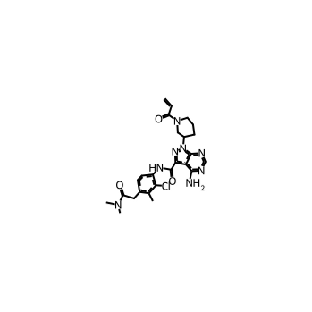 C=CC(=O)N1CCCC(n2nc(C(=O)Nc3ccc(CC(=O)N(C)C)c(C)c3Cl)c3c(N)ncnc32)C1